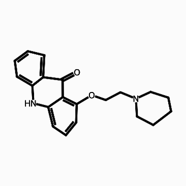 O=c1c2ccccc2[nH]c2cccc(OCCN3CCCCC3)c12